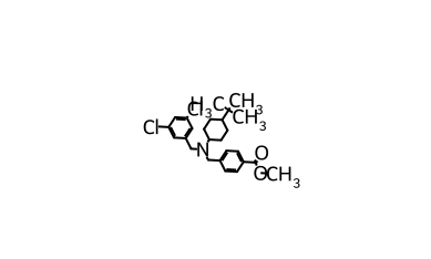 COC(=O)c1ccc(CN(Cc2cc(Cl)cc(Cl)c2)C2CCC(C(C)(C)C)CC2)cc1